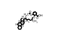 CC(=O)Oc1cccc(C(=O)O)c1OCC(C)CCC[C@@H](C)[C@H]1CC[C@H]2[C@@H]3CCC4CCCC[C@]4(C)[C@H]3CC[C@]12C